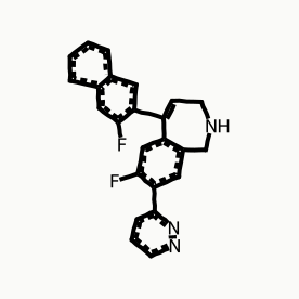 Fc1cc2ccccc2cc1C1=CCNCc2cc(-c3cccnn3)c(F)cc21